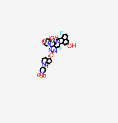 C#Cc1c(F)ccc2cc(O)cc(-c3nc(OC)c4c(N5CCOC[C@@](C)(O)C5)nc(OC[C@]56CCC[C@H]5N(C5CCN(S(C)(=O)=O)CC5)CCC6)nc4c3F)c12